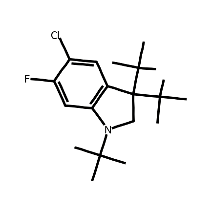 CC(C)(C)N1CC(C(C)(C)C)(C(C)(C)C)c2cc(Cl)c(F)cc21